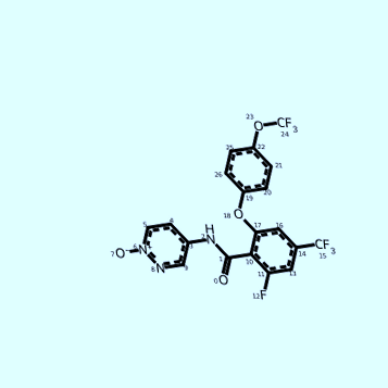 O=C(Nc1cc[n+]([O-])nc1)c1c(F)cc(C(F)(F)F)cc1Oc1ccc(OC(F)(F)F)cc1